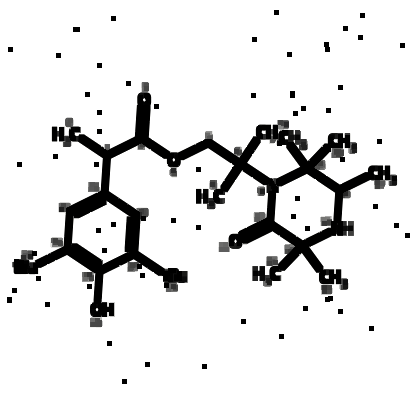 CC(C(=O)OCC(C)(C)N1C(=O)C(C)(C)NC(C)C1(C)C)c1cc(C(C)(C)C)c(O)c(C(C)(C)C)c1